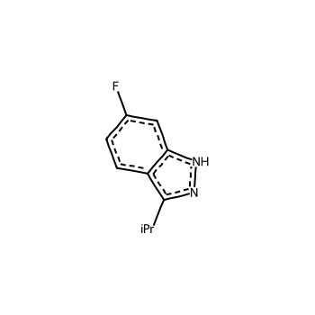 CC(C)c1n[nH]c2cc(F)ccc12